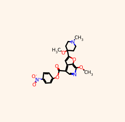 COc1ncc(C(=O)Oc2ccc([N+](=O)[O-])cc2)c2cc(C3(OC)CCN(C)CC3)oc12